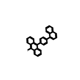 Ic1c2ccccc2c(-c2ccc(-c3cccc4ccccc34)cc2)c2ccccc12